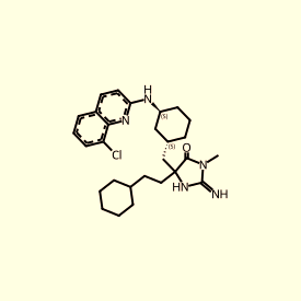 CN1C(=N)NC(CCC2CCCCC2)(C[C@H]2CCC[C@H](Nc3ccc4cccc(Cl)c4n3)C2)C1=O